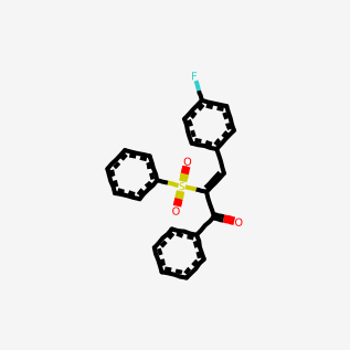 O=C(C(=Cc1ccc(F)cc1)S(=O)(=O)c1ccccc1)c1ccccc1